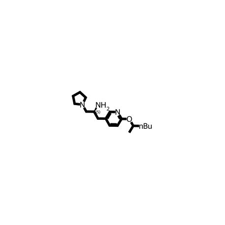 CCCCC(C)Oc1ccc(C[C@H](N)CN2CCCC2)cn1